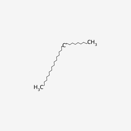 CCCCCCCCC=C=CCCCCCCCCCCCCCCCC